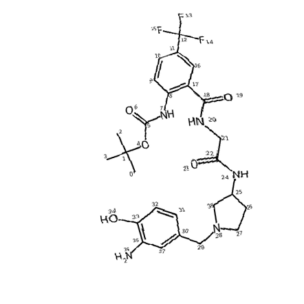 CC(C)(C)OC(=O)Nc1ccc(C(F)(F)F)cc1C(=O)NCC(=O)NC1CCN(Cc2ccc(O)c(N)c2)C1